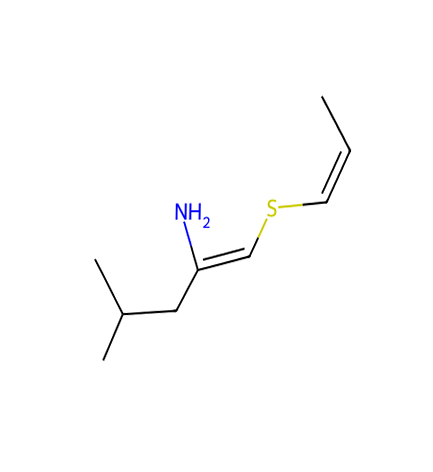 C/C=C\S/C=C(\N)CC(C)C